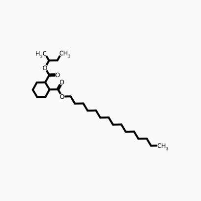 CCCCCCCCCCCCCCCOC(=O)C1CCCCC1C(=O)OC(C)CC